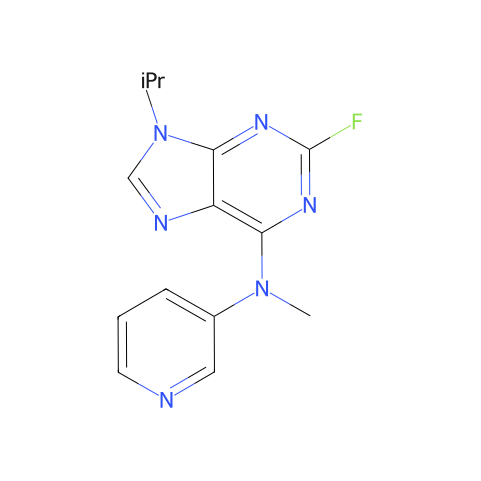 CC(C)n1cnc2c(N(C)c3cccnc3)nc(F)nc21